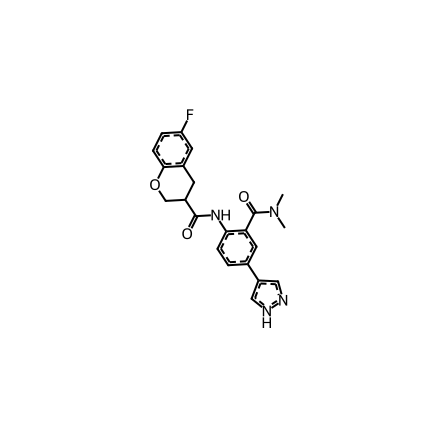 CN(C)C(=O)c1cc(-c2cn[nH]c2)ccc1NC(=O)C1COc2ccc(F)cc2C1